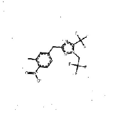 Cc1cc(Cc2nc(C(F)(F)F)n(CC(F)(F)F)n2)ccc1[N+](=O)[O-]